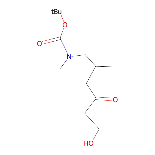 CC(CC(=O)CCO)CN(C)C(=O)OC(C)(C)C